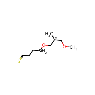 COC[C@H](C)CO[SiH2]CCC=S